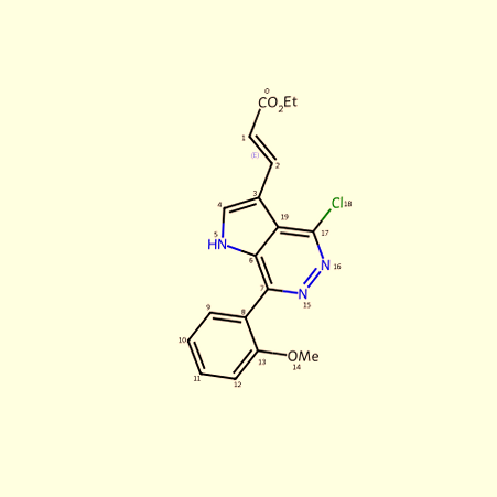 CCOC(=O)/C=C/c1c[nH]c2c(-c3ccccc3OC)nnc(Cl)c12